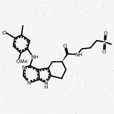 COc1cc(Cl)c(C)cc1Nc1ncnc2[nH]c3c(c12)C[C@@H](C(=O)NCCCS(C)(=O)=O)CC3